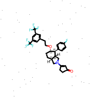 O=C1C=C(N2C[C@H]3CC[C@H](OCCc4cc(C(F)(F)F)cc(C(F)(F)F)c4)[C@@H](c4ccc(F)cc4)[C@@H]3C2)CC1